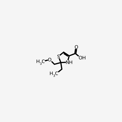 CCC1(COC)NC(C(=O)O)=CS1